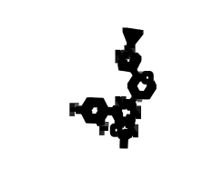 Cc1nc2nc([C@H]3CCO[C@H](c4cnn(C5CC5)c4)C3)nc(-c3ccc(F)cc3F)c2o1